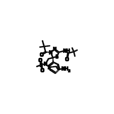 CC(C)(C)C(=O)NC1=NN(C(=O)C(C)(C)C)C(CN(SCCN)S(C)(=O)=O)(c2ccccc2)S1